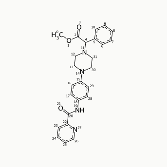 COC(=O)C(c1ccccc1)N1CCN(c2ccc(NC(=O)c3ccccn3)cc2)CC1